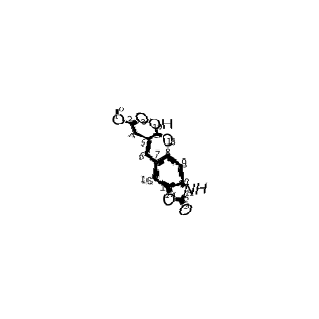 COC(=O)CC(=Cc1ccc2[nH]c(=O)oc2c1)C(=O)O